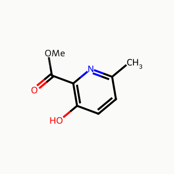 COC(=O)c1nc(C)ccc1O